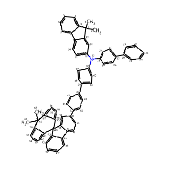 CC1(C)c2ccccc2-c2ccc(N(c3ccc(-c4ccccc4)cc3)c3ccc(-c4ccc(-c5ccc6c(c5)C5(c7ccccc7-6)c6ccccc6C(C)(C)c6ccccc65)cc4)cc3)cc21